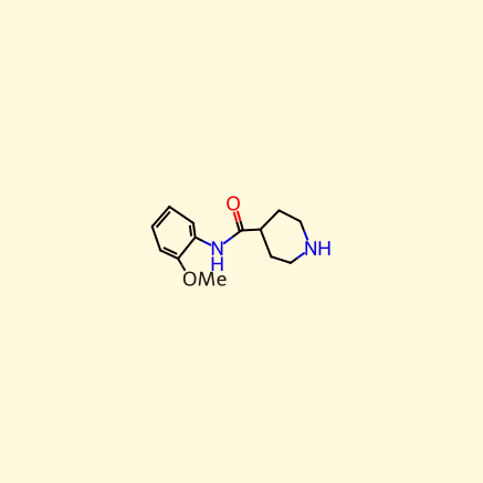 COc1ccccc1NC(=O)C1CCNCC1